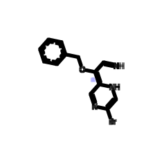 N=C/C(OCc1ccccc1)=C1/C=NC(Br)=CN1